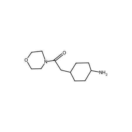 NC1CCC(CC(=O)N2CCOCC2)CC1